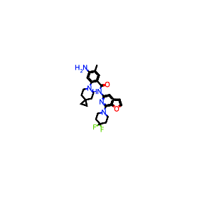 Cc1cc(C(=O)Nc2cc3ccoc3c(N3CCC(F)(F)CC3)n2)c(N2CCC3(CC2)CC3)cc1N